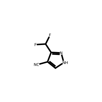 N#Cc1c[nH]nc1C(F)F